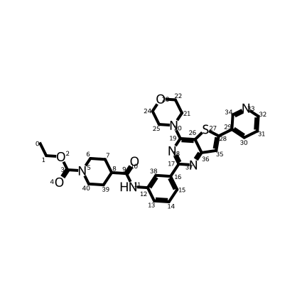 CCOC(=O)N1CCC(C(=O)Nc2cccc(-c3nc(N4CCOCC4)c4sc(-c5cccnc5)cc4n3)c2)CC1